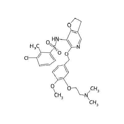 COc1ccc(COc2ncc3c(c2NS(=O)(=O)c2cccc(Cl)c2C)OCC3)cc1OCCN(C)C